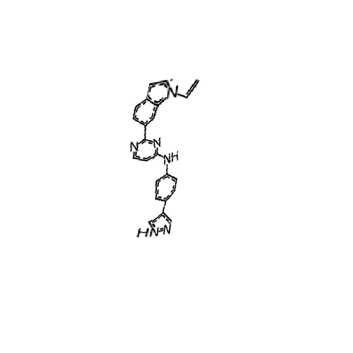 C=Cn1[c]cc2ccc(-c3nccc(Nc4ccc(-c5cn[nH]c5)cc4)n3)cc21